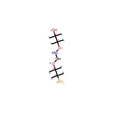 CC(C)(O)C(C)(C)ONBOC(C)(C)C(C)(C)P